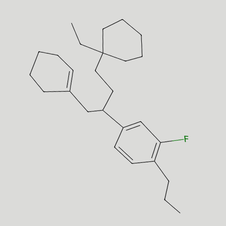 CCCc1ccc(C(CCC2(CC)CCCCC2)CC2=CCCCC2)cc1F